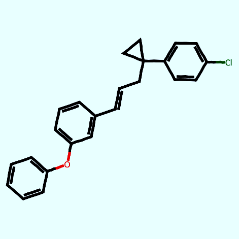 Clc1ccc(C2(CC=Cc3cccc(Oc4ccccc4)c3)CC2)cc1